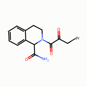 CC(C)CC(=O)C(=O)N1CCc2c[c]ccc2C1C(N)=O